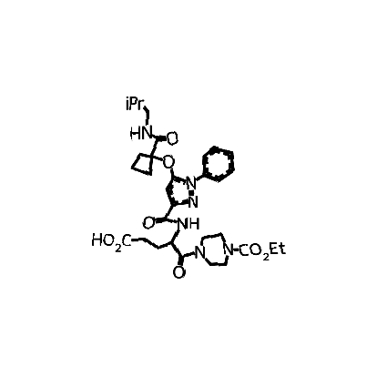 CCOC(=O)N1CCN(C(=O)C(CCC(=O)O)NC(=O)c2cc(OC3(C(=O)NCC(C)C)CCC3)n(-c3ccccc3)n2)CC1